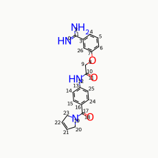 N=C(N)c1cccc(OCC(=O)Nc2ccc(C(=O)N3CC=CC3)cc2)c1